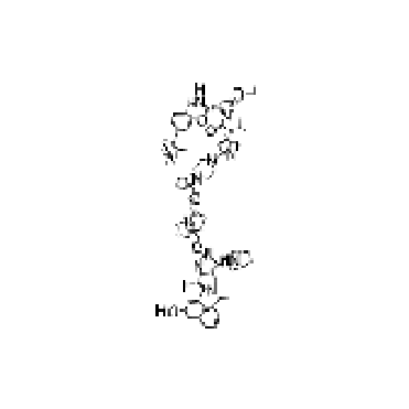 CCc1cccc2cc(O)cc(-c3ncc4c(N5CC6CCC(C5)N6)nc(OC[C@@]56CCCN5[C@H](COC(=O)N5CCN(c7cc([C@H](C(=O)N8C[C@H](O)C[C@H]8C(=O)N[C@@H](C)c8ccc(-c9scnc9C)cc8)C(C)C)on7)CC5)CC6)nc4c3F)c12